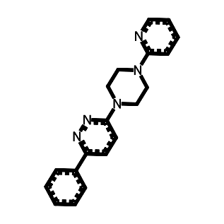 c1ccc(-c2ccc(N3CCN(c4ccccn4)CC3)nn2)cc1